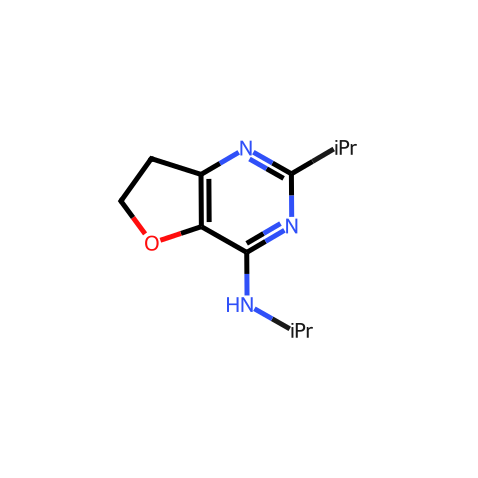 CC(C)Nc1nc(C(C)C)nc2c1OCC2